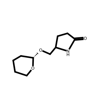 O=C1CCC(CO[C@H]2CCCCO2)N1